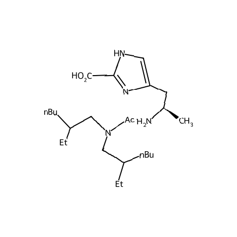 CCCCC(CC)CN(CC(CC)CCCC)C(C)=O.C[C@@H](N)Cc1c[nH]c(C(=O)O)n1